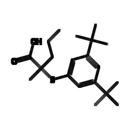 CCCC(C)(Sc1cc(C(C)(C)C)cc(C(C)(C)C)c1)C(=O)O